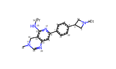 CCN1CC(c2ccc(-c3cc4c(c(NC(C)C)n3)CN(C)C=N4)cc2)C1